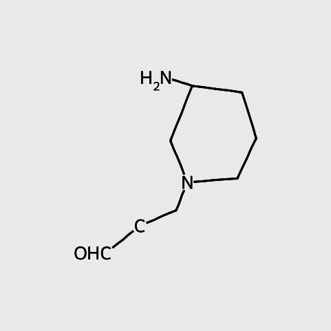 NC1CCCN(CCC=O)C1